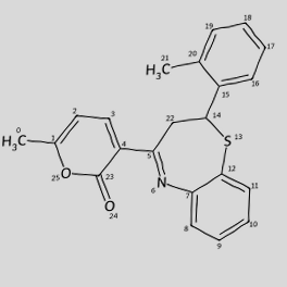 Cc1ccc(C2=Nc3ccccc3SC(c3ccccc3C)C2)c(=O)o1